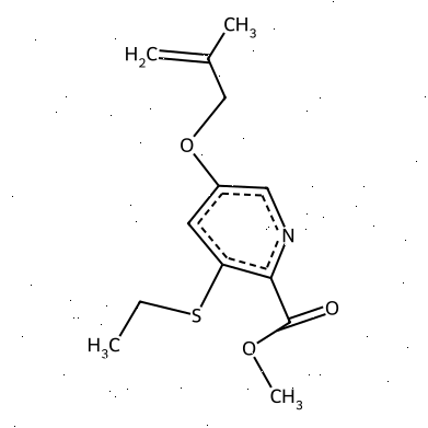 C=C(C)COc1cnc(C(=O)OC)c(SCC)c1